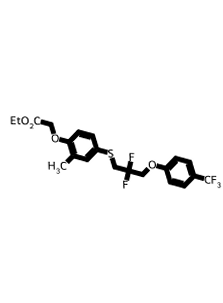 CCOC(=O)COc1ccc(SCC(F)(F)COc2ccc(C(F)(F)F)cc2)cc1C